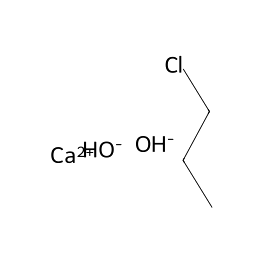 CCCCl.[Ca+2].[OH-].[OH-]